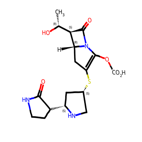 C[C@@H](O)[C@H]1C(=O)N2C(OC(=O)O)=C(S[C@@H]3CN[C@H](C4CCNC4=O)C3)C[C@H]12